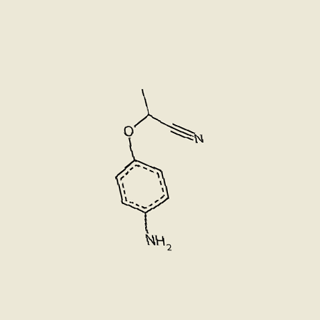 CC(C#N)Oc1ccc(N)cc1